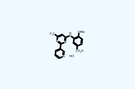 COc1ccc(C(=O)O)cc1Nc1cc(C(F)(F)F)nc(-c2cccnc2)n1.Cl